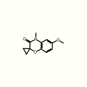 COc1ccc2c(c1)N(C)C(=O)C1(CC1)O2